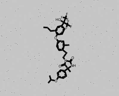 CCCc1cc(C(O)(C(F)(F)F)C(F)(F)F)ccc1Oc1ccc(CCN2C(=O)NC(C)(c3ccc(OC(C)C)cc3)C2=O)c(C)c1